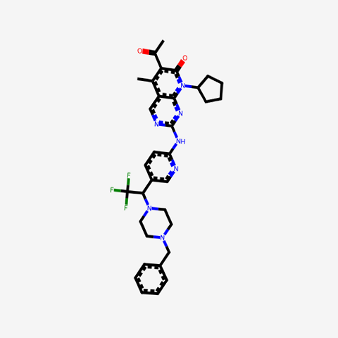 CC(=O)c1c(C)c2cnc(Nc3ccc(C(N4CCN(Cc5ccccc5)CC4)C(F)(F)F)cn3)nc2n(C2CCCC2)c1=O